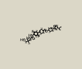 CC(C)c1noc(N2CCC(ON=C3CCC(c4cc(F)c(NC(=O)NCC(C)(C)CO)cc4F)CC3)CC2)n1